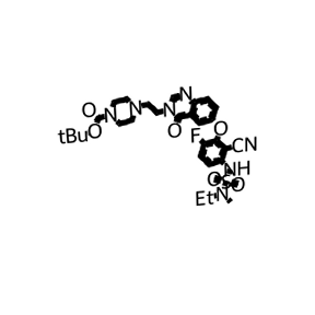 CCN(C)S(=O)(=O)Nc1ccc(F)c(Oc2ccc3ncn(CCN4CCN(C(=O)OC(C)(C)C)CC4)c(=O)c3c2)c1C#N